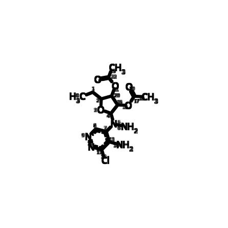 CCC1OC(N(N)c2cnnc(Cl)c2N)C(OC(C)=O)C1OC(C)=O